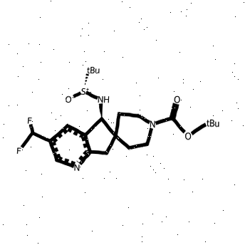 CC(C)(C)OC(=O)N1CCC2(CC1)Cc1ncc(C(F)F)cc1[C@H]2N[S@+]([O-])C(C)(C)C